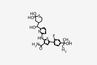 CC(C)(O)c1ccc(-c2cc(C(N)=O)c(Nc3cccc(C(O)C4CCSC(O)(O)C4)n3)s2)c(F)c1